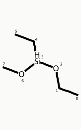 CCO[SiH](CC)OC